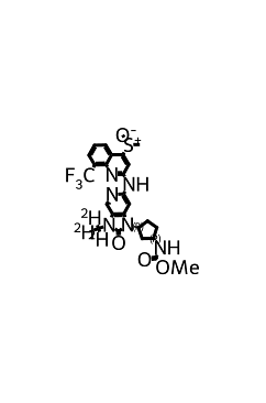 [2H]C([2H])([2H])n1c(=O)n([C@@H]2CC[C@@H](NC(=O)OC)C2)c2cc(Nc3cc([S+](C)[O-])c4cccc(C(F)(F)F)c4n3)ncc21